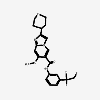 COc1cc2nc(C3CCOCC3)cn2cc1C(=O)Nc1cccc(C(F)(F)CF)c1